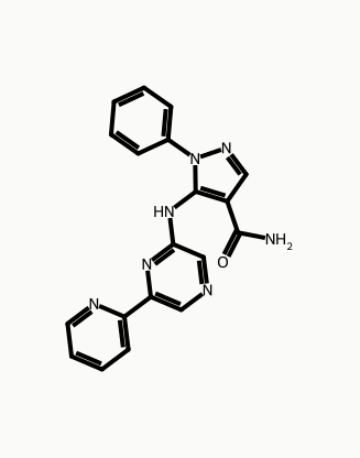 NC(=O)c1cnn(-c2ccccc2)c1Nc1cncc(-c2ccccn2)n1